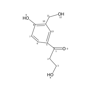 O=C(CCO)c1ccc(O)c(CO)c1